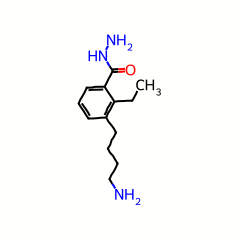 CCc1c(CCCCN)cccc1C(=O)NN